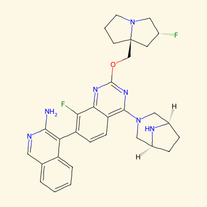 Nc1ncc2ccccc2c1-c1ccc2c(N3C[C@H]4CC[C@@H](C3)N4)nc(OC[C@@]34CCCN3C[C@H](F)C4)nc2c1F